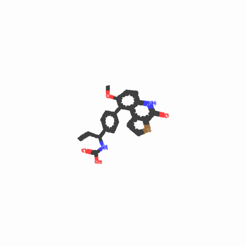 CCC(NC(=O)O)c1ccc(-c2c(OC)ccc3[nH]c(=O)c4sccc4c23)cc1